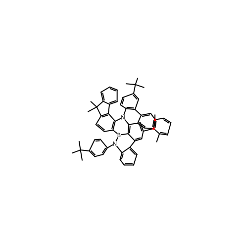 Cc1cccc(C)c1-c1cc2c3c(c1)N(c1ccc(C(C)(C)C)cc1-c1ccccc1)c1c(ccc4c1-c1ccccc1C4(C)C)B3N(c1ccc(C(C)(C)C)cc1)c1ccccc1-2